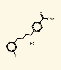 COC(=O)c1ccc(CCCCc2cccc(F)c2)cc1.Cl